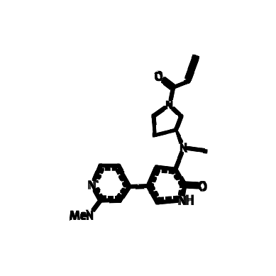 C=CC(=O)N1CC[C@H](N(C)c2cc(-c3ccnc(NC)c3)c[nH]c2=O)C1